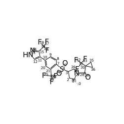 C[C@@H]1CC(S(=O)(=O)c2ccc(-c3c[nH]nc3C(F)(F)F)cc2C(F)(F)F)CN1C(=O)C1(C(F)(F)F)CC1